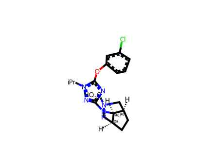 CC(C)n1nc(N[C@H]2[C@@H]3CC[C@H]2CN(C(=O)O)C3)nc1Oc1cccc(Cl)c1